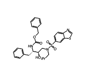 CC(C)CN(C[C@@H](O)[C@H](Cc1ccccc1)NC(=O)OCc1ccccc1)S(=O)(=O)c1ccc2ncsc2c1